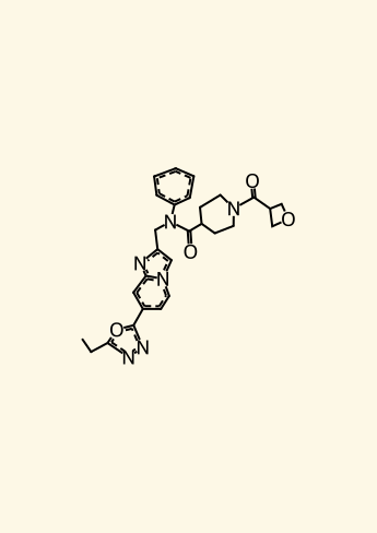 CCc1nnc(-c2ccn3cc(CN(C(=O)C4CCN(C(=O)C5COC5)CC4)c4ccccc4)nc3c2)o1